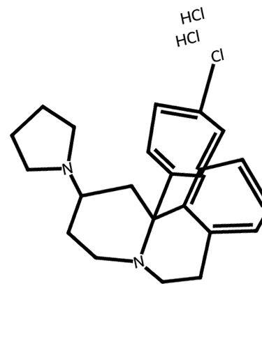 Cl.Cl.Clc1ccc(C23CC(N4CCCC4)CCN2CCc2ccccc23)cc1